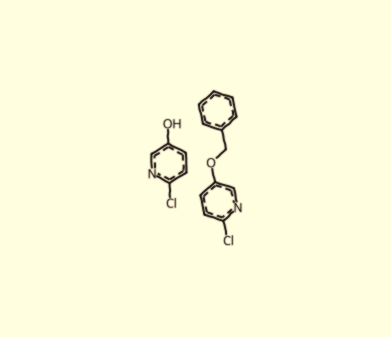 Clc1ccc(OCc2ccccc2)cn1.Oc1ccc(Cl)nc1